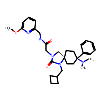 COc1cccc(CNC(=O)CN2C[C@]3(CC[C@](c4ccccc4)(N(C)C)CC3)N(CC3CCC3)C2=O)n1